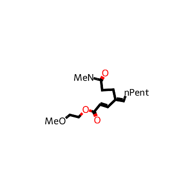 CCCCC/C=C(/C=C/C(=O)OCCOC)CCC(=O)NC